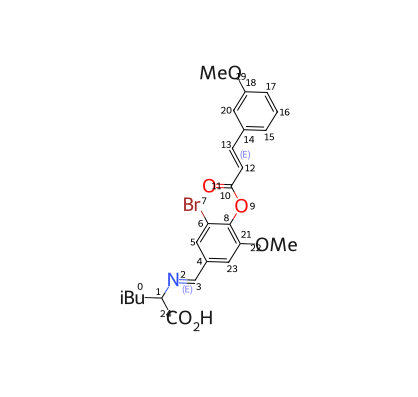 CCC(C)C(/N=C/c1cc(Br)c(OC(=O)/C=C/c2cccc(OC)c2)c(OC)c1)C(=O)O